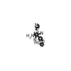 N#Cc1c(N)nc(SCc2cccnc2)c(C#N)c1-c1ccc(O[C@H]2CCC[C@@H]2O)cc1